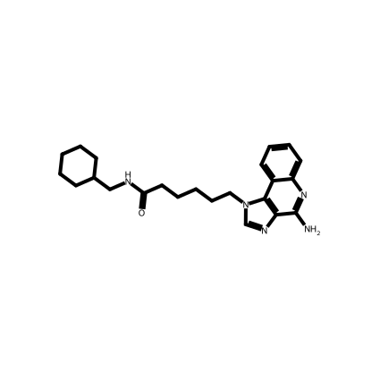 Nc1nc2ccccc2c2c1ncn2CCCCCC(=O)NCC1CCCCC1